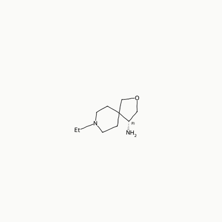 CCN1CCC2(CC1)COC[C@@H]2N